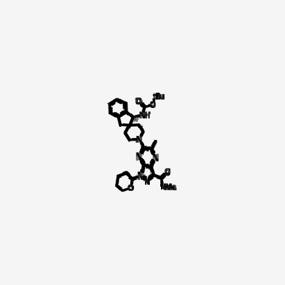 CNC(=O)c1nn(C2CCCCO2)c2nc(N3CCC4(CC3)Cc3ccccc3[C@H]4NC(=O)OC(C)(C)C)c(C)nc12